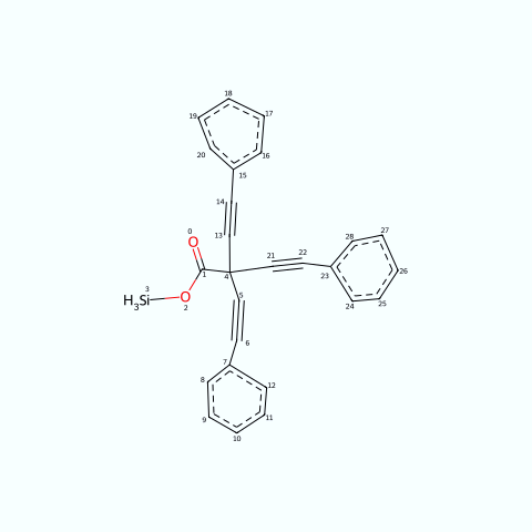 O=C(O[SiH3])C(C#Cc1ccccc1)(C#Cc1ccccc1)C#Cc1ccccc1